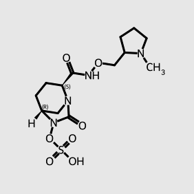 CN1CCCC1CONC(=O)[C@@H]1CC[C@@H]2CN1C(=O)N2OS(=O)(=O)O